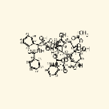 CC(=O)O[C@H]1C(=O)[C@@]2(C)[C@H]([C@H](OC(=O)c3ccccc3)[C@]3(O)C[C@H](OC(O)[C@H](O)[C@@H](NC(=O)c4ccccc4)c4ccccc4)C(C)=C1C3(C)C)[C@]1(OC(C)=O)CO[C@@H]1C[C@@H]2O